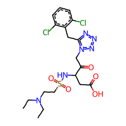 CCN(CC)CCS(=O)(=O)NC(CC(=O)O)C(=O)Cn1nnnc1Cc1c(Cl)cccc1Cl